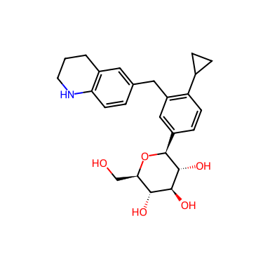 OC[C@H]1O[C@@H](c2ccc(C3CC3)c(Cc3ccc4c(c3)CCCN4)c2)[C@H](O)[C@@H](O)[C@@H]1O